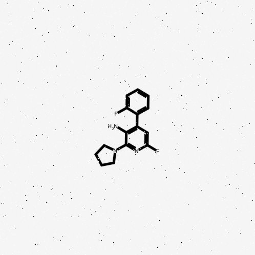 Nc1c(-c2ccccc2F)cc(F)nc1N1CCCC1